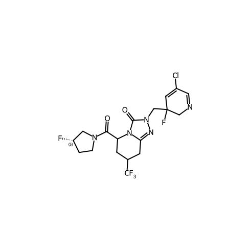 O=C(C1CC(C(F)(F)F)Cc2nn(CC3(F)C=C(Cl)C=NC3)c(=O)n21)N1CC[C@H](F)C1